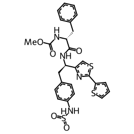 COC(=O)N[C@H](Cc1ccccc1)C(=O)N[C@H](Cc1ccc(N[SH](=O)=O)cc1)c1csc(-c2cccs2)n1